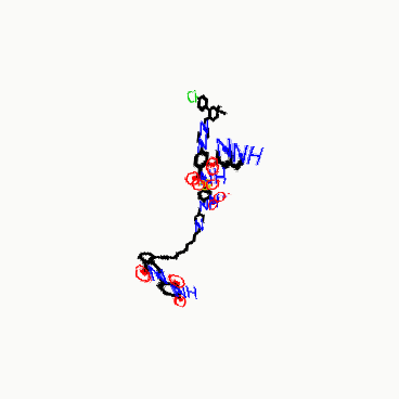 CC1(C)CCC(CN2CCN(c3ccc(C(=O)NS(=O)(=O)c4ccc(NCC5CCN(CCCCCCCC#Cc6cccc7c6CN(C6CCC(=O)NC6=O)C7=O)CC5)c([N+](=O)[O-])c4)c(Oc4cnc5[nH]ccc5c4)c3)CC2)=C(c2ccc(Cl)cc2)C1